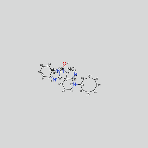 COC(=O)CC1(C2N=C3C=CC=CC3N2)[CH]CCN(C2CCCCCCC2)C1=NC#N